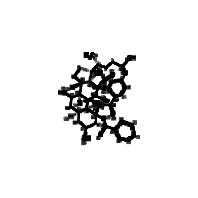 C[C@H](CCC(=O)O)[C@H]1CC[C@H]2[C@@H]3[C@H](O)C[C@@H]4C[C@H](O)CC(OC(=O)c5ccccc5)(OC(=O)c5ccccc5)[C@]4(C)[C@H]3C(Br)[C@@](O)(C=O)[C@]12C